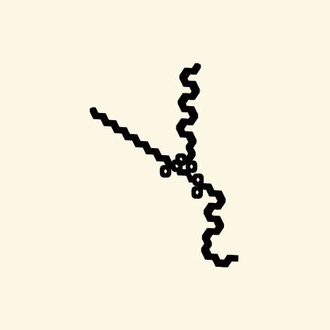 CC/C=C\C/C=C\C/C=C\C/C=C\C/C=C\C/C=C\CCC(=O)OC[C@@H](COC(=O)CCCCCCCCCCCCCCC)OC(=O)CC/C=C\C/C=C\C/C=C\C/C=C\C/C=C\C/C=C\CC